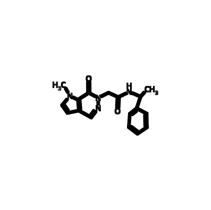 CC(NC(=O)Cn1ncc2ccn(C)c2c1=O)c1ccccc1